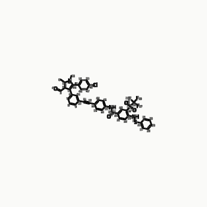 Cc1c(C=O)c(-c2cccc(C#Cc3ccc(N[S+]([O-])c4ccc(NSc5ccccc5)c(S(=O)(=O)C(F)(F)F)c4)cc3)c2)c(-c2ccc(Cl)cc2)n1C